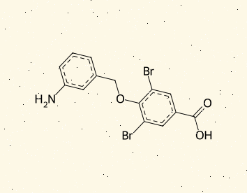 Nc1cccc(COc2c(Br)cc(C(=O)O)cc2Br)c1